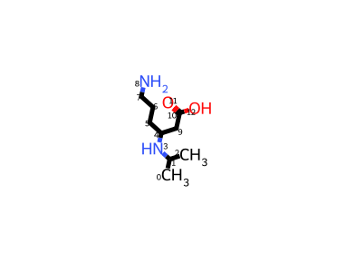 CC(C)NC(CCCN)CC(=O)O